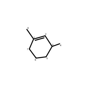 CC1=CC(C)C[CH]C1